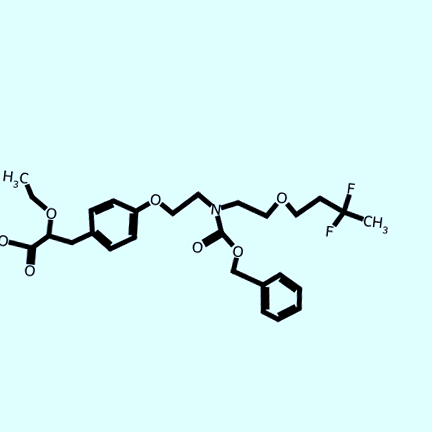 CCOC(Cc1ccc(OCCN(CCOCCC(C)(F)F)C(=O)OCc2ccccc2)cc1)C(=O)O